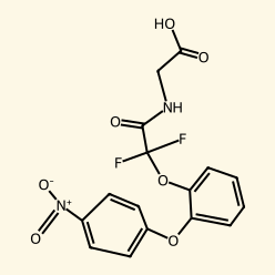 O=C(O)CNC(=O)C(F)(F)Oc1ccccc1Oc1ccc([N+](=O)[O-])cc1